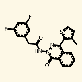 Cc1ccsc1-c1nn(NC(=O)Cc2cc(F)cc(F)c2)c(=O)c2ccccc12